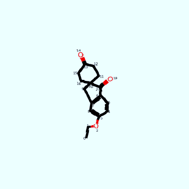 CCOc1ccc2c(c1)CC1(CCC(=O)CC1)C2=O